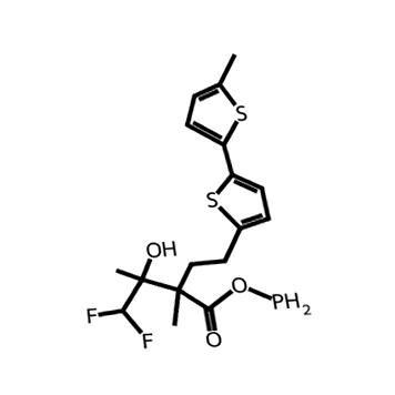 Cc1ccc(-c2ccc(CCC(C)(C(=O)OP)C(C)(O)C(F)F)s2)s1